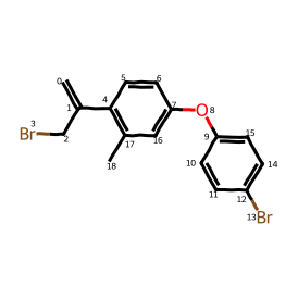 C=C(CBr)c1ccc(Oc2ccc(Br)cc2)cc1C